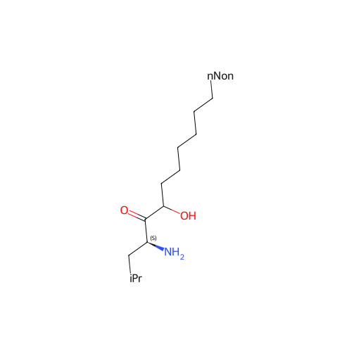 CCCCCCCCCCCCCCCC(O)C(=O)[C@@H](N)CC(C)C